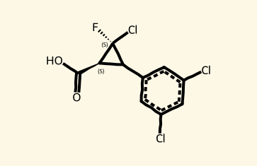 O=C(O)[C@@H]1C(c2cc(Cl)cc(Cl)c2)[C@]1(F)Cl